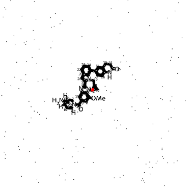 COc1cc(C(=O)N2C[C@H]3CC[C@@H]2C[C@@H]3N)cc2nc(-c3cc4cccc(-c5ccc6c(c5)CCC(=O)N6)c4n3CC3CC3)n(C)c12